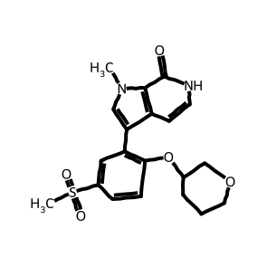 Cn1cc(-c2cc(S(C)(=O)=O)ccc2OC2CCCOC2)c2cc[nH]c(=O)c21